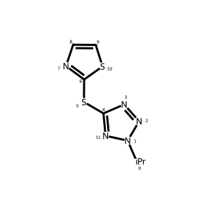 CC(C)n1nnc(Sc2nccs2)n1